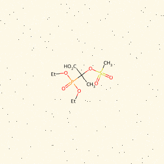 CCOP(=O)(OCC)C(C)(OS(C)(=O)=O)C(=O)O